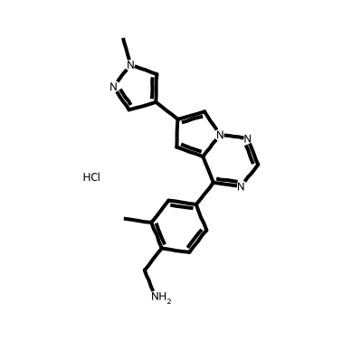 Cc1cc(-c2ncnn3cc(-c4cnn(C)c4)cc23)ccc1CN.Cl